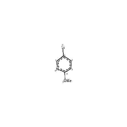 [Li][c]1ccc(OC)nc1